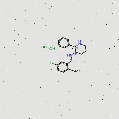 CSc1ccc(F)cc1CN[C@@H]1CCCN[C@@H]1c1ccccc1.Cl.Cl